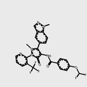 Cn1ncc2cc(-c3c(NC(=O)c4ccc(OC(F)F)cc4)c(=O)n(-c4ncccc4C(F)(F)F)n3C)ccc21